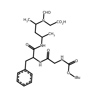 CC(CC(C)N(C=O)CC(=O)O)NC(=O)C(Cc1ccccc1)NC(=O)CNC(=O)OC(C)(C)C